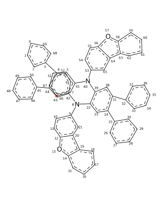 c1ccc(-c2ccc(N(c3ccc4oc5ccccc5c4c3)c3cc(-c4ccccc4)c(-c4ccccc4)cc3N(c3ccc(-c4ccccc4)cc3)c3ccc4oc5ccccc5c4c3)cc2)cc1